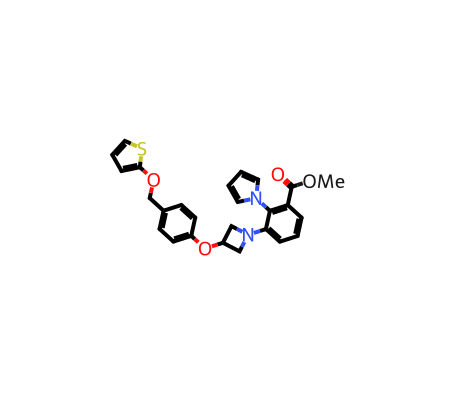 COC(=O)c1cccc(N2CC(Oc3ccc(COc4cccs4)cc3)C2)c1-n1cccc1